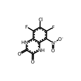 O=c1[nH]c2c(F)c(Cl)c(F)c([N+](=O)[O-])c2[nH]c1=O